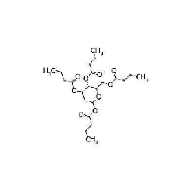 CCCC(=O)OC[C@H]1OC(OC(=O)CCC)C[C@@H](OC(=O)CCC)[C@@H]1OC(=O)CCC